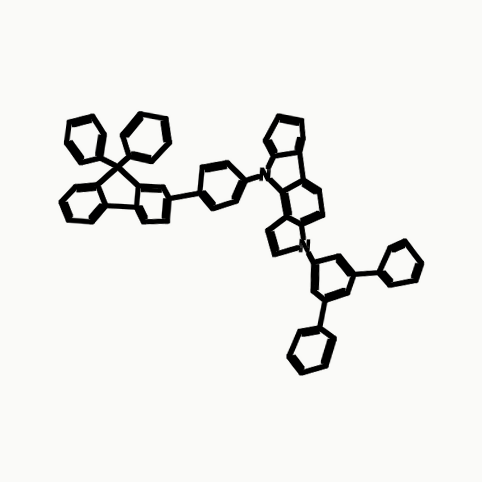 c1ccc(-c2cc(-c3ccccc3)cc(-n3ccc4c3ccc3c5ccccc5n(-c5ccc(-c6ccc7c(c6)C(c6ccccc6)(c6ccccc6)c6ccccc6-7)cc5)c34)c2)cc1